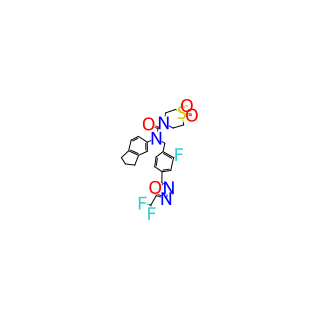 O=C(N1CCS(=O)(=O)CC1)N(Cc1ccc(-c2nnc(C(F)F)o2)cc1F)c1ccc2c(c1)CCC2